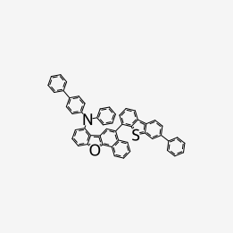 c1ccc(-c2ccc(N(c3ccccc3)c3cccc4oc5c6ccccc6c(-c6cccc7c6sc6cc(-c8ccccc8)ccc67)cc5c34)cc2)cc1